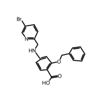 O=C(O)c1ccc(NCc2ccc(Br)cn2)cc1OCc1ccccc1